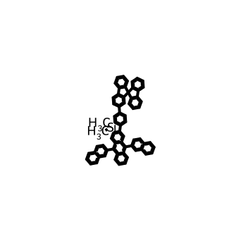 C[Si]1(C)c2cc(-c3ccc4c(c3)C3(c5ccccc5-c5ccccc53)c3ccccc3-4)ccc2-c2cc3c(-c4ccc5ccccc5c4)c4ccccc4c(-c4ccc5ccccc5c4)c3cc21